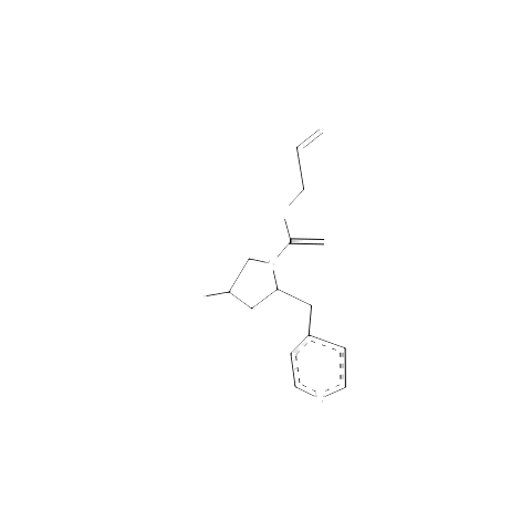 C=CCOC(=O)N1CC(O)CC1Cc1ccncc1